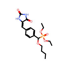 CCCCOC(c1ccc(C=C2NC(=O)NC2=O)cc1)P(=O)(OCC)OCC